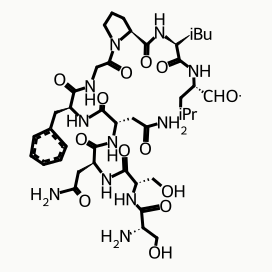 CC[C@H](C)[C@H](NC(=O)[C@@H]1CCCN1C(=O)CNC(=O)[C@H](Cc1ccccc1)NC(=O)[C@H](CC(N)=O)NC(=O)[C@H](CC(N)=O)NC(=O)[C@H](CO)NC(=O)[C@@H](N)CO)C(=O)N[C@H]([C]=O)CC(C)C